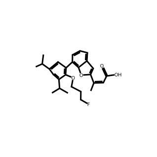 C/C(=C/C(=O)O)c1cc2cccc(-c3cc(C(C)C)cc(C(C)C)c3OCCCF)c2o1